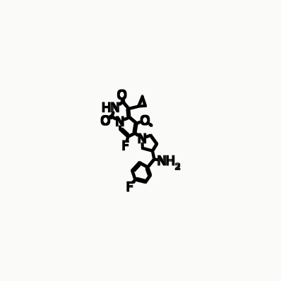 COc1c(N2CCC(C(N)c3ccc(F)cc3)C2)c(F)cn2c(=O)[nH]c(=O)c(C3CC3)c12